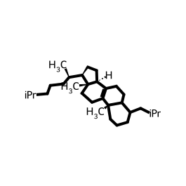 CC(C)CCC[C@@H](C)[C@H]1CC[C@H]2C3=C(CC[C@]12C)[C@@]1(C)CCCC(CC(C)C)C1CC3